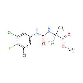 COC(=O)C(C)(C)NC(=O)Nc1cc(Cl)c(F)c(Cl)c1